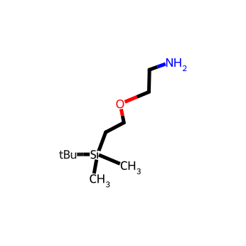 CC(C)(C)[Si](C)(C)CCOCCN